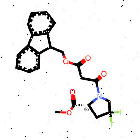 COC(=O)[C@H]1CC(F)(F)CN1C(=O)CC(=O)OCC1c2ccccc2-c2ccccc21